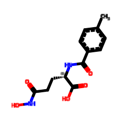 Cc1ccc(C(=O)N[C@@H](CCC(=O)NO)C(=O)O)cc1